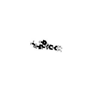 CCC(CC)N1CCC(S(=O)(=O)N(Cc2ccc(-c3nnc(C(F)F)o3)cn2)c2cccc(Cl)c2)CC1